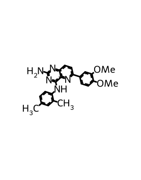 COc1ccc(-c2ccc3nc(N)nc(Nc4ccc(C)cc4C)c3n2)cc1OC